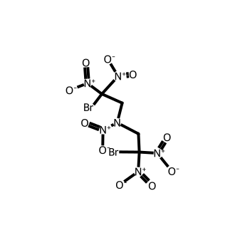 O=[N+]([O-])N(CC(Br)([N+](=O)[O-])[N+](=O)[O-])CC(Br)([N+](=O)[O-])[N+](=O)[O-]